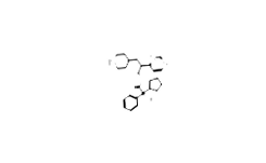 O=C(OCC(CC1CCNCC1)c1ccncn1)C(O)(c1ccccc1)C1CCCC1